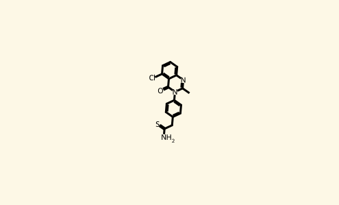 Cc1nc2cccc(Cl)c2c(=O)n1-c1ccc(CC(N)=S)cc1